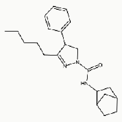 CCCCCC1=NN(C(=O)NC2CC3CCC2C3)CC1c1ccccc1